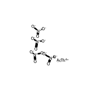 O=[N+]([O-])[O-].O=[N+]([O-])[O-].O=[N+]([O-])[O-].O=[N+]([O-])[O-].[Ac].[Th+4]